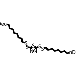 CCCCCCCCCCCCCCCCC=CSSc1nnc(SSC=CCCCCCCCCCCCCCCCC)s1